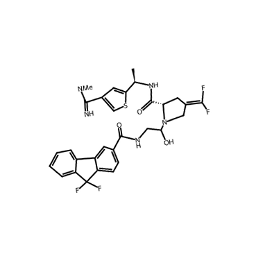 CNC(=N)c1csc([C@@H](C)NC(=O)[C@@H]2CC(=C(F)F)CN2C(O)CNC(=O)c2ccc3c(c2)-c2ccccc2C3(F)F)c1